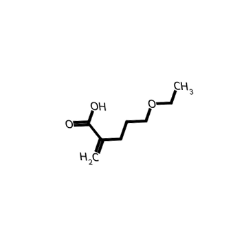 C=C(CCCOCC)C(=O)O